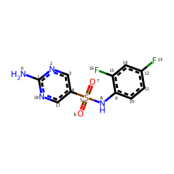 Nc1ncc(S(=O)(=O)Nc2ccc(F)cc2F)cn1